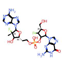 C[C@]1(F)C(O)[C@@H](CCOP(=O)(O)OC2C(F)[C@@H](CO)OC2n2cnc3c(=O)[nH]c(N)nc32)OC1n1cnc2c(N)ncnc21